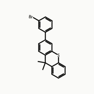 CC1(C)c2ccccc2Sc2cc(-c3cccc(Br)c3)ccc21